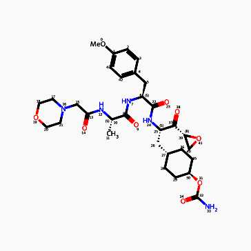 COc1ccc(C[C@H](NC(=O)[C@H](C)NC(=O)CN2CCOCC2)C(=O)N[C@@H](C[C@H]2CC[C@H](OC(N)=O)CC2)C(=O)[C@H]2CO2)cc1